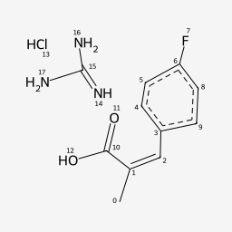 CC(=Cc1ccc(F)cc1)C(=O)O.Cl.N=C(N)N